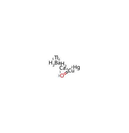 [BaH2].[CaH2].[Hg].[O]=[Cu].[Tl]